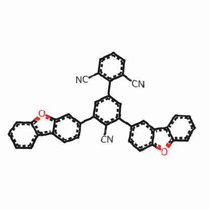 N#Cc1cccc(C#N)c1-c1cc(-c2ccc3c(c2)oc2ccccc23)c(C#N)c(-c2ccc3oc4ccccc4c3c2)c1